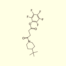 CC(C)(C)C1CCN(C(=O)CCC(=O)Oc2c(F)c(F)c(F)c(F)c2F)CC1